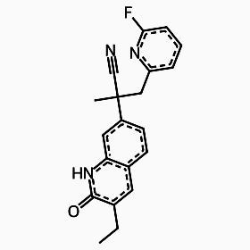 CCc1cc2ccc(C(C)(C#N)Cc3cccc(F)n3)cc2[nH]c1=O